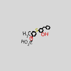 Cc1cc(Sc2cc(O)cc(Cc3ccccc3)c2)ccc1OCC(=O)O